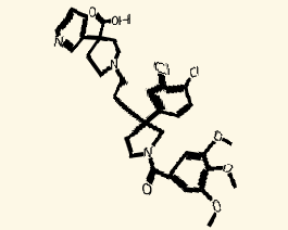 COc1cc(C(=O)N2CCC(CCN3CCC(C(=O)O)(c4cccnc4)CC3)(c3ccc(Cl)c(Cl)c3)C2)cc(OC)c1OC